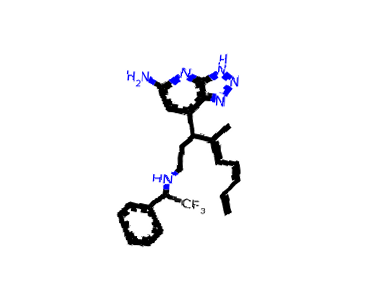 C=C/C=C\C=C(/C)C(CCNC(c1ccccc1)C(F)(F)F)c1cc(N)nc2[nH]nnc12